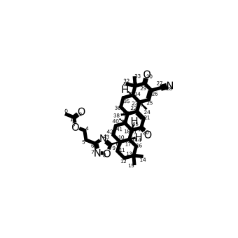 CC(=O)OCCc1noc([C@]23CCC(C)(C)C[C@H]2[C@H]2C(=O)C=C4[C@@]5(C)C=C(C#N)C(=O)C(C)(C)[C@@H]5CC[C@@]4(C)[C@]2(C)CC3)n1